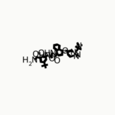 COc1c(NC(=O)N[C@@]2(C=O)C=C[C@@H](Oc3ccc4nnc(C(C)(C)N(C)C)n4c3)c3ccccc32)cc(C(C)(C)C)cc1C(N)=O